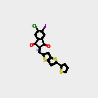 O=C1/C(=C/c2cc3sc(-c4cccs4)cc3s2)C(=O)c2cc(I)c(Cl)cc21